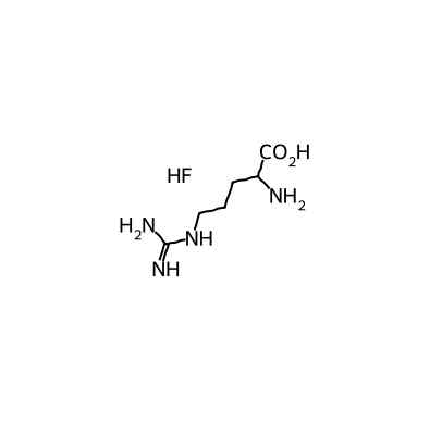 F.N=C(N)NCCCC(N)C(=O)O